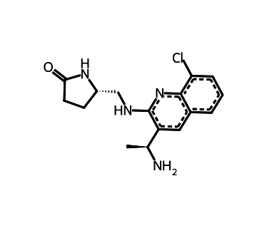 C[C@H](N)c1cc2cccc(Cl)c2nc1NC[C@@H]1CCC(=O)N1